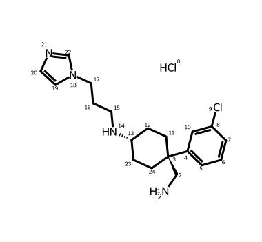 Cl.NC[C@]1(c2cccc(Cl)c2)CC[C@@H](NCCCn2ccnc2)CC1